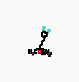 CCC(CC)(CCCCc1ccc(F)c(F)c1)O[SiH3]